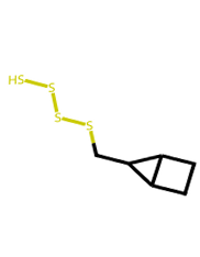 SSSSCC1C2CCC21